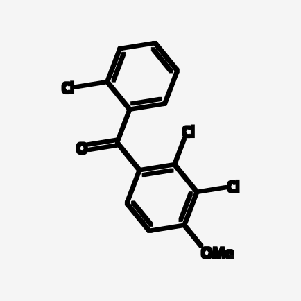 COc1ccc(C(=O)c2ccccc2Cl)c(Cl)c1Cl